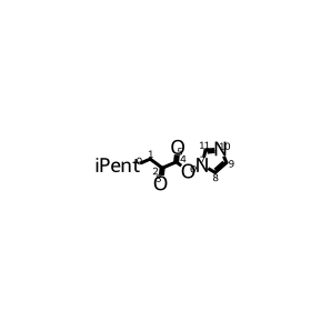 CCCC(C)CC(=O)C(=O)On1ccnc1